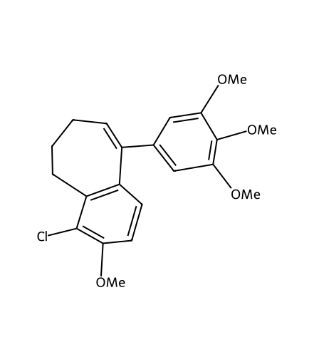 COc1ccc2c(c1Cl)CCCC=C2c1cc(OC)c(OC)c(OC)c1